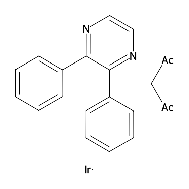 CC(=O)CC(C)=O.[Ir].c1ccc(-c2nccnc2-c2ccccc2)cc1